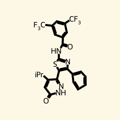 CC(C)c1cc(=O)[nH]nc1-c1sc(NC(=O)c2cc(C(F)(F)F)cc(C(F)(F)F)c2)nc1-c1ccccc1